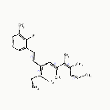 C\C=C/C(C)=C(C)\C(C)=C\C(\C=C\c1cccc(C)c1F)=C(/C)CN